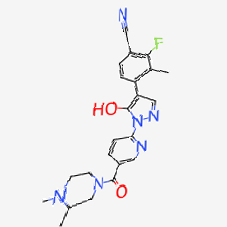 Cc1c(-c2cnn(-c3ccc(C(=O)N4CCN(C)C(C)C4)cn3)c2O)ccc(C#N)c1F